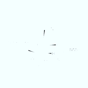 CCCCCCCCCCOC[C@@]12O[C@@H](CN3CCCCCC3)[C@@H](OC(=O)NC)[C@@H]1OC(C)(C)O2